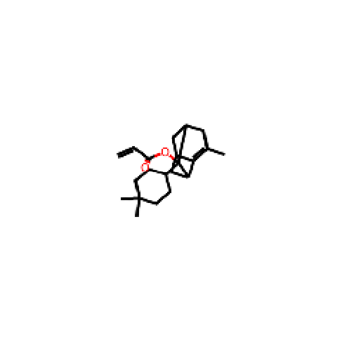 C=CC(=O)OC1(C2CCC(C)(C)CC2)C2CC(C)=C3C(C2)CC31